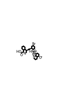 COc1ccc(S(=O)(=O)Nc2ccc(Br)cc2C#Cc2cnc(C(=O)O)c3ccccc23)c2ncccc12